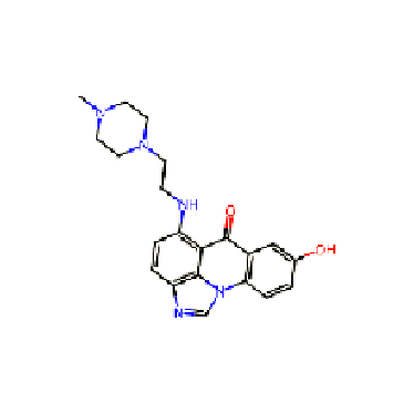 CN1CCN(CCNc2ccc3ncn4c5ccc(O)cc5c(=O)c2c34)CC1